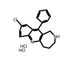 Cl.Cl.Clc1ccc2nc3c(c(-c4ccccc4)c2c1)CNCCC3